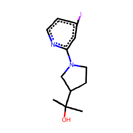 CC(C)(O)C1CCN(c2cc(I)ccn2)C1